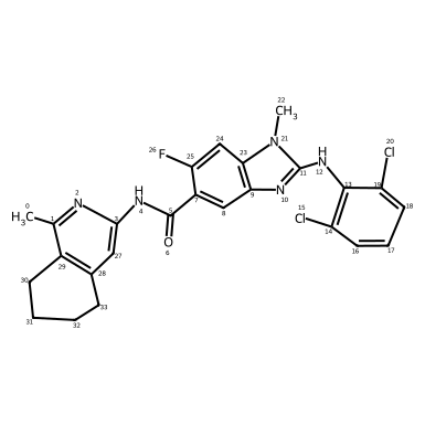 Cc1nc(NC(=O)c2cc3nc(Nc4c(Cl)cccc4Cl)n(C)c3cc2F)cc2c1CCCC2